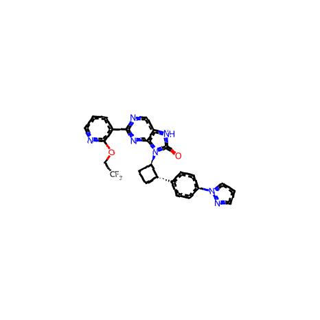 O=c1[nH]c2cnc(-c3cccnc3OCC(F)(F)F)nc2n1[C@@H]1CC[C@H]1c1ccc(-n2cccn2)cc1